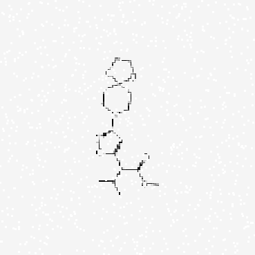 COC(=O)C(c1cc(N2CCC3(CC2)OCCO3)no1)C(C)C